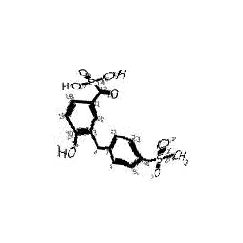 CS(=O)(=O)c1ccc(Cc2cc(C(=O)P(=O)(O)O)ccc2O)cc1